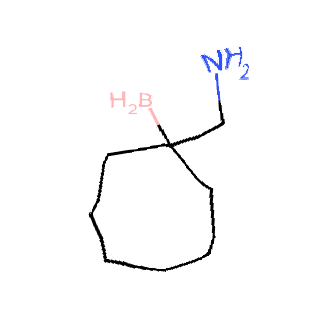 BC1(CN)CCCCCC1